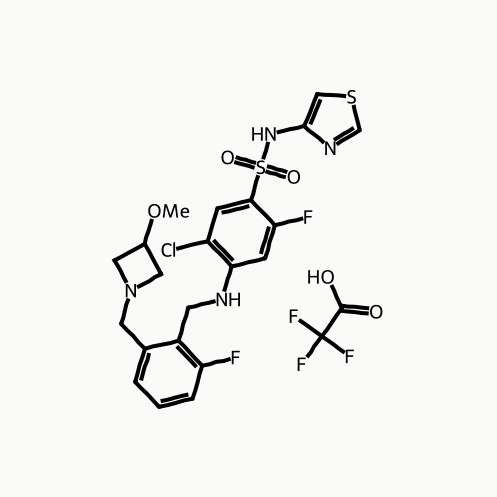 COC1CN(Cc2cccc(F)c2CNc2cc(F)c(S(=O)(=O)Nc3cscn3)cc2Cl)C1.O=C(O)C(F)(F)F